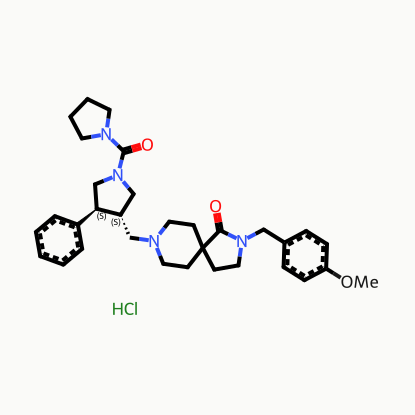 COc1ccc(CN2CCC3(CCN(C[C@H]4CN(C(=O)N5CCCC5)C[C@@H]4c4ccccc4)CC3)C2=O)cc1.Cl